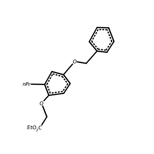 CCCc1cc(OCc2ccccc2)ccc1OCC(=O)OCC